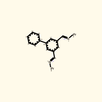 CC(C)/N=C/c1cc(/C=N/C(C)C)cc(-c2ccccc2)c1